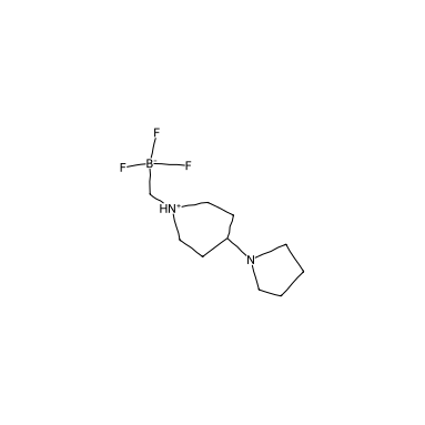 F[B-](F)(F)C[NH+]1CCC(N2CCCC2)CC1